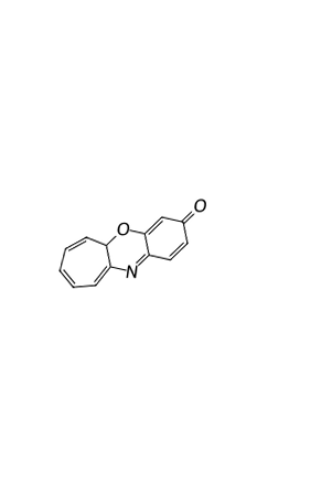 O=C1C=CC2=NC3=CC=CC=CC3OC2=C1